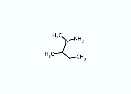 CCC(C)N(C)N